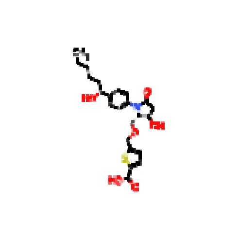 CCCCCC(O)c1ccc(N2C(=O)C[C@@H](O)[C@@H]2COCc2ccc(C(=O)O)s2)cc1